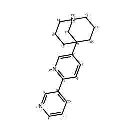 c1cncc(-c2ccc(C34CCCN(CCC3)C4)cn2)c1